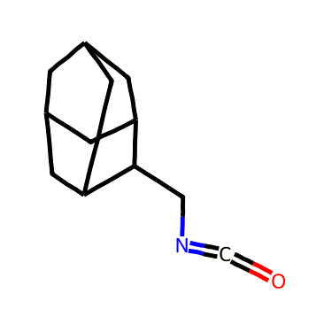 O=C=NCC1C2CC3CC(C2)CC1C3